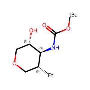 CC[C@@H]1COC[C@H](O)[C@H]1NC(=O)OC(C)(C)C